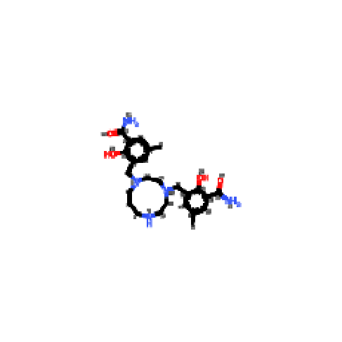 Cc1cc(CN2CCCNCCN(Cc3cc(C)cc(C(N)=O)c3O)CC2)c(O)c(C(N)=O)c1